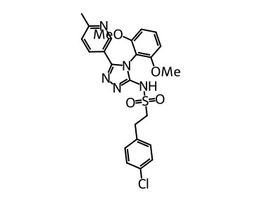 COc1cccc(OC)c1-n1c(NS(=O)(=O)CCc2ccc(Cl)cc2)nnc1-c1ccc(C)nc1